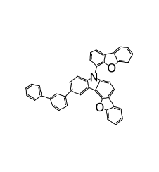 c1ccc(-c2cccc(-c3ccc4c(c3)c3c5oc6ccccc6c5ccc3n4-c3cccc4c3oc3ccccc34)c2)cc1